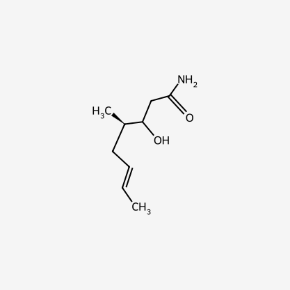 C/C=C/C[C@@H](C)C(O)CC(N)=O